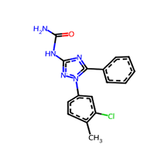 Cc1ccc(-n2nc(NC(N)=O)nc2-c2ccccc2)cc1Cl